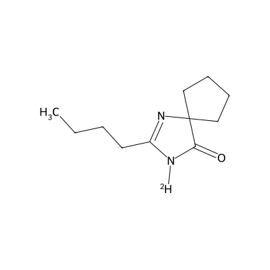 [2H]N1C(=O)C2(CCCC2)N=C1CCCC